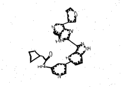 O=C(Nc1cncc(-c2ccc3[nH]nc(-c4nc5c(-c6ccoc6)cncc5[nH]4)c3n2)c1)C1CCC1